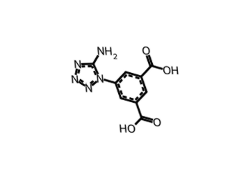 Nc1nnnn1-c1cc(C(=O)O)cc(C(=O)O)c1